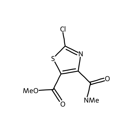 CNC(=O)c1nc(Cl)sc1C(=O)OC